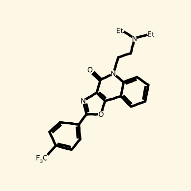 CCN(CC)CCn1c(=O)c2nc(-c3ccc(C(F)(F)F)cc3)oc2c2ccccc21